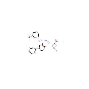 O=C(O)[C@]1(C[C@H]2CN(S(=O)(=O)c3cccc(C(F)(F)F)c3)c3cc(-c4cc(F)ccc4F)ccc3O2)C[C@@](O)(CO)C1